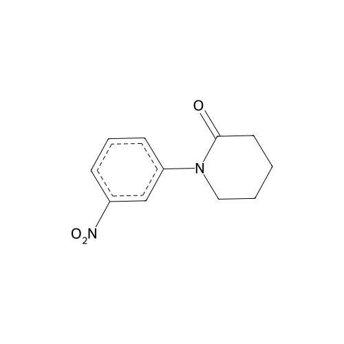 O=C1CCCCN1c1cccc([N+](=O)[O-])c1